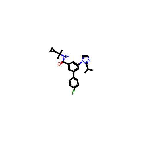 CC(C)c1nccn1-c1cc(C(=O)NC(C)(C)C2CC2)cc(-c2ccc(F)cc2)c1